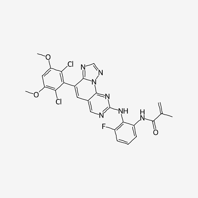 C=C(C)C(=O)Nc1cccc(F)c1Nc1ncc2cc(-c3c(Cl)c(OC)cc(OC)c3Cl)c3ncnn3c2n1